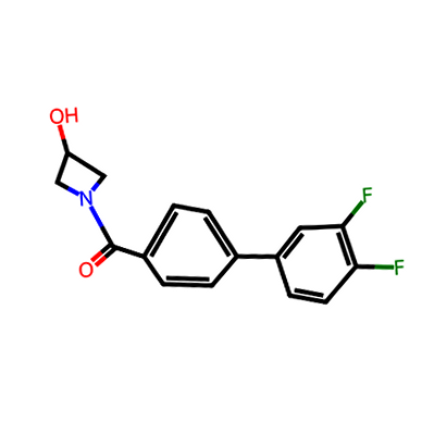 O=C(c1ccc(-c2ccc(F)c(F)c2)cc1)N1CC(O)C1